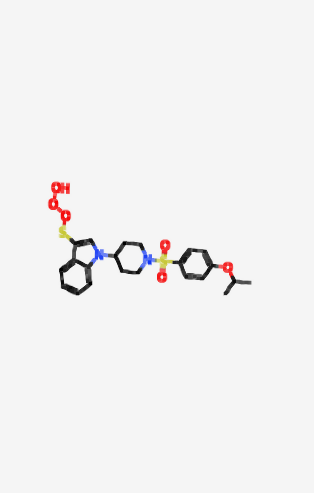 CC(C)Oc1ccc(S(=O)(=O)N2CCC(n3cc(SOOO)c4ccccc43)CC2)cc1